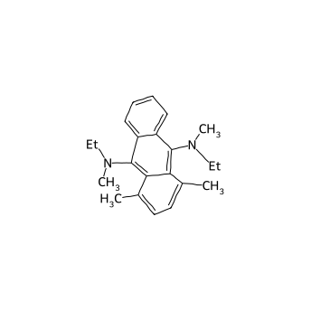 CCN(C)c1c2ccccc2c(N(C)CC)c2c(C)ccc(C)c12